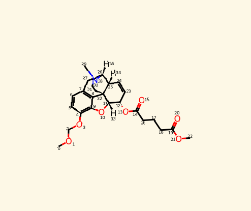 COCOc1ccc2c3c1O[C@H]1[C@@H](OC(=O)CCCC(=O)OC)C=C[C@H]4[C@@H](C2)N(C)CC[C@@]341